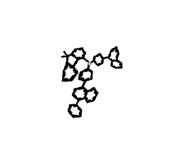 CC1(C)c2ccccc2-c2c(N(c3ccc(-c4cccc5ccccc45)cc3)c3ccc(-c4ccc(-c5ccccc5)c5ccccc45)cc3)cccc21